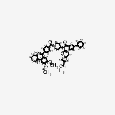 CCOc1cc2c(cc1OC)C(c1ccc(C(=O)N3CCC(n4c(=O)c5sc(-c6ccccc6)cc5n(Cc5nc(CC)co5)c4=O)CC3)cc1)=N[C@@H]1CCSC[C@H]21